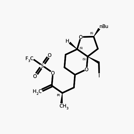 C=C(OS(=O)(=O)C(F)(F)F)[C@H](C)CC1CC[C@@H]2O[C@@H](CCCC)C[C@]2(CI)O1